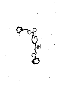 O=C(OCc1ccccc1)N1CCC(NCCOc2ccccc2)CC1